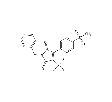 CS(=O)(=O)c1ccc(C2=C(C(F)(F)F)C(=O)N(Cc3ccccc3)C2=O)cc1